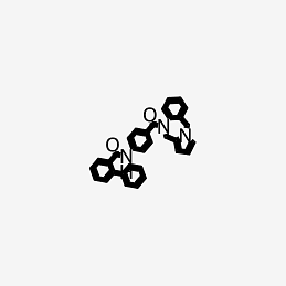 O=C(Nc1ccc(C(=O)N2Cc3cccn3Cc3ccccc32)cc1)c1ccccc1-c1ccccc1